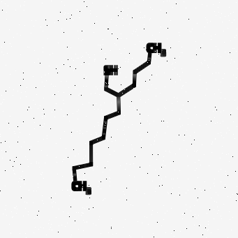 CCCCCCCC(CS)CCCC